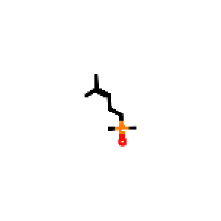 CC(C)=CCCP(C)(C)=O